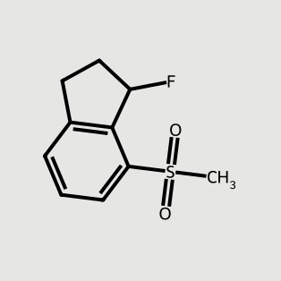 CS(=O)(=O)c1cccc2c1C(F)CC2